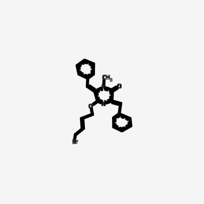 Cn1c(=O)/c(=C/c2ccccc2)nc(OC/C=C/CBr)/c1=C/c1ccccc1